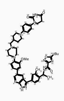 COc1cc(-c2cnc3[nH]nc(-c4ccc(C(C)NC(=O)c5noc(C(C)(C)C)n5)c(C)c4)c3c2)ccc1N1CCN(CC2CCN(c3ccc(N4CCC(=O)NC4=O)cc3)CC2)CC1